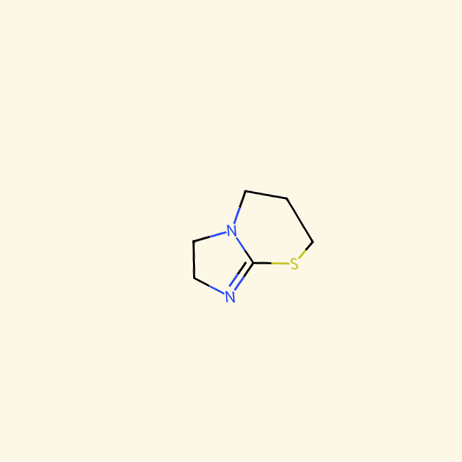 C1CSC2=NCCN2C1